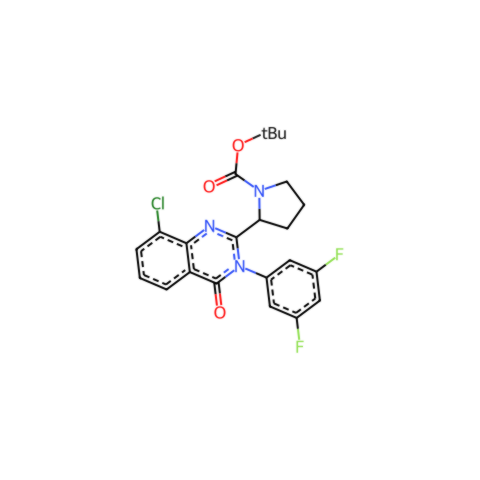 CC(C)(C)OC(=O)N1CCCC1c1nc2c(Cl)cccc2c(=O)n1-c1cc(F)cc(F)c1